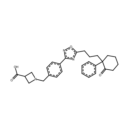 O=C(O)C1CN(Cc2ccc(-c3noc(CCCC4(c5ccccc5)CCCCC4=O)n3)cc2)C1